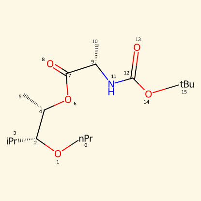 CCCO[C@H](C(C)C)[C@H](C)OC(=O)[C@H](C)NC(=O)OC(C)(C)C